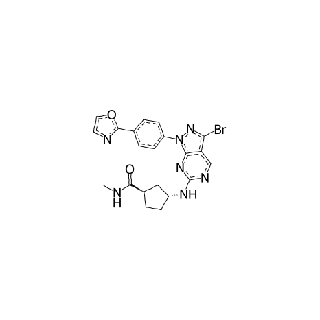 CNC(=O)[C@@H]1CC[C@@H](Nc2ncc3c(Br)nn(-c4ccc(-c5ncco5)cc4)c3n2)C1